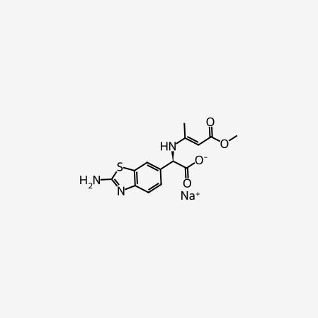 COC(=O)C=C(C)N[C@@H](C(=O)[O-])c1ccc2nc(N)sc2c1.[Na+]